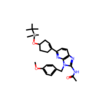 COc1ccc(Cn2c(NC(C)=O)nc3ccc(C4=CCC(O[Si](C)(C)C(C)(C)C)CC4)nc32)cc1